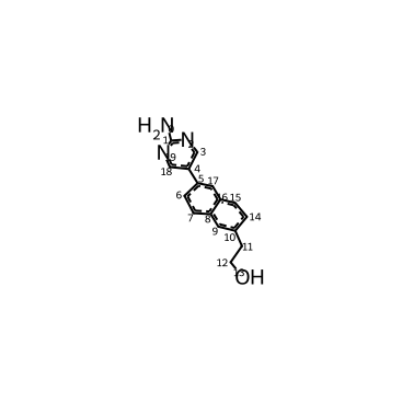 Nc1ncc(-c2ccc3cc(CCO)ccc3c2)cn1